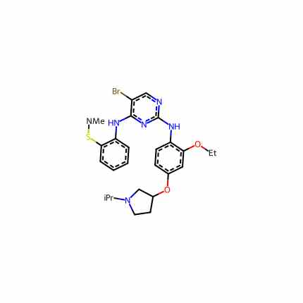 CCOc1cc(OC2CCN(C(C)C)C2)ccc1Nc1ncc(Br)c(Nc2ccccc2SNC)n1